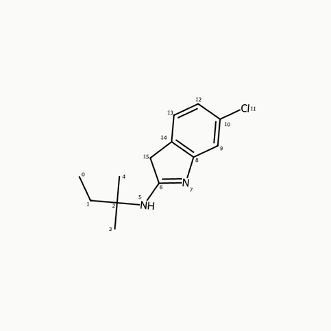 CCC(C)(C)NC1=Nc2cc(Cl)ccc2C1